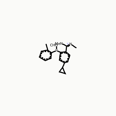 C/N=C(/NC)c1ccc(C2CC2)cc1N(C=O)c1ccccc1C